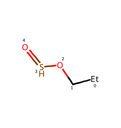 CCCO[SH]=O